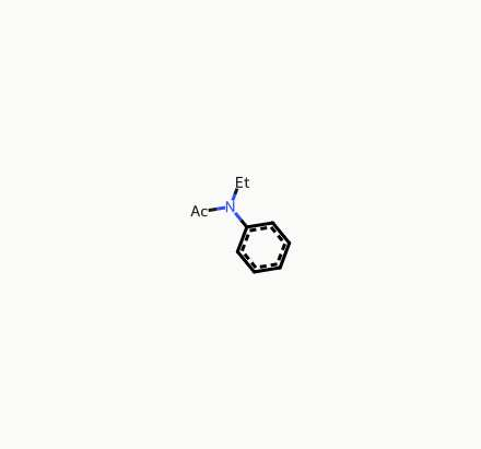 CCN(C(C)=O)c1ccccc1